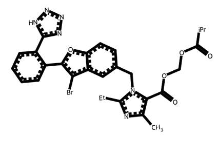 CCc1nc(C)c(C(=O)OCOC(=O)C(C)C)n1Cc1ccc2oc(-c3ccccc3-c3nnn[nH]3)c(Br)c2c1